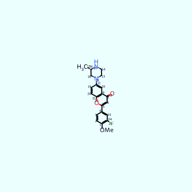 COc1ccc(-c2cc(=O)c3cc(N4CCN[C@H](C)C4)ccc3o2)cc1F